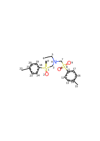 C=S(=O)(CN(CC)CS(=O)(=O)c1ccc(C)cc1)c1ccc(C)cc1